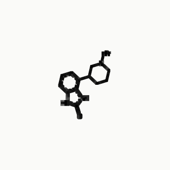 CCCN1CCCC(c2cccc3[nH]c(=O)[nH]c23)C1